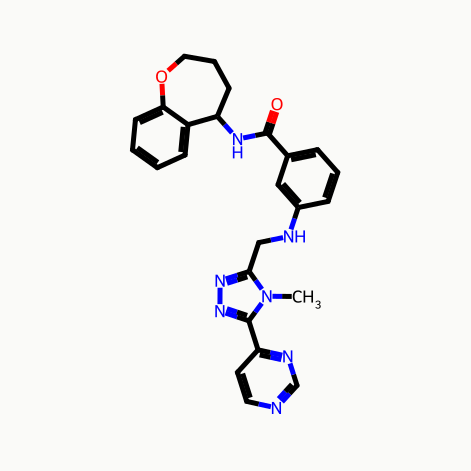 Cn1c(CNc2cccc(C(=O)NC3CCCOc4ccccc43)c2)nnc1-c1ccncn1